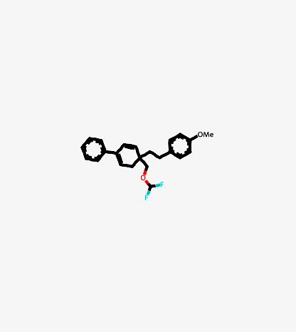 COc1ccc(CCC2(COC(F)F)C=CC(c3ccccc3)=CC2)cc1